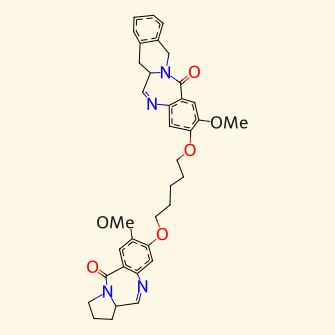 COc1cc2c(cc1OCCCCCOc1cc3c(cc1OC)C(=O)N1Cc4ccccc4CC1C=N3)N=CC1CCCN1C2=O